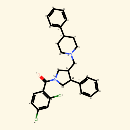 O=C(c1ccc(Cl)cc1Cl)N1CC(CN2CCC(c3ccccc3)CC2)C(c2ccccc2)C1